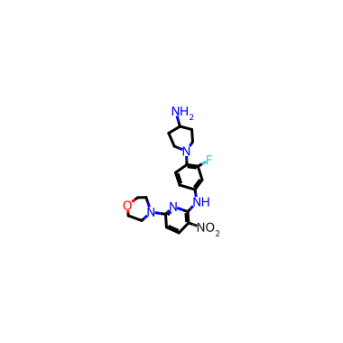 NC1CCN(c2ccc(Nc3nc(N4CCOCC4)ccc3[N+](=O)[O-])cc2F)CC1